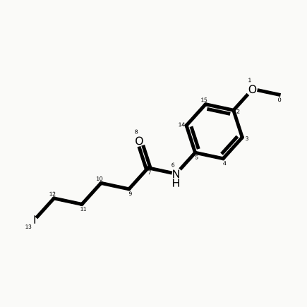 COc1ccc(NC(=O)CCCCI)cc1